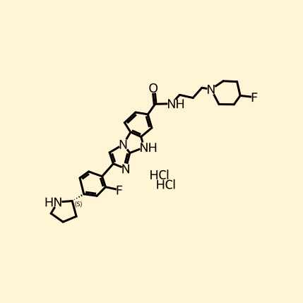 Cl.Cl.O=C(NCCCN1CCC(F)CC1)c1ccc2c(c1)[nH]c1nc(-c3ccc([C@@H]4CCCN4)cc3F)cn12